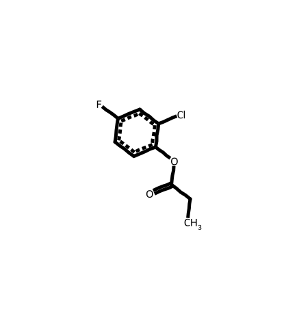 CCC(=O)Oc1ccc(F)cc1Cl